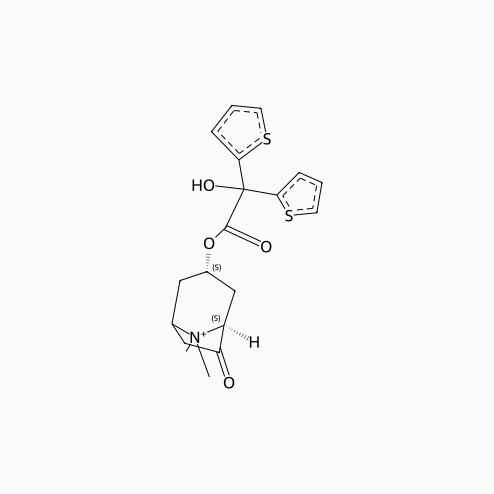 C[N+]1(C)C2CC(=O)[C@@H]1C[C@@H](OC(=O)C(O)(c1cccs1)c1cccs1)C2